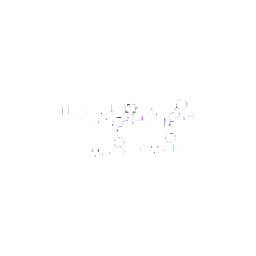 CCOC(=O)CC(=O)N1CCc2c(nc(Cc3ccc(OC)c(F)c3)c3[nH]c4ccccc4c23)C1.COc1ccc(Cc2nc3c(c4c2[nH]c2ccccc24)CCN(C(=O)CC(=O)O)C3)cc1F